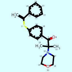 C=C(Sc1ccc(C(=O)C(C)(C)N2CCOCC2)cc1)c1ccccc1